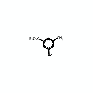 CCOC(=O)c1cc(C)cc(C(C)=O)c1